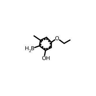 Bc1c(C)cc(OCC)cc1O